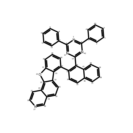 c1ccc(-c2nc(-c3ccccc3)nc(-c3c(-c4cccc5oc6c7ccncc7ccc6c45)ccc4ccccc34)n2)cc1